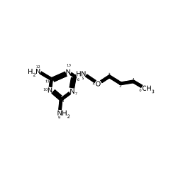 CCCCONc1nc(N)nc(N)n1